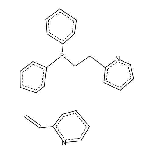 C=Cc1ccccn1.c1ccc(P(CCc2ccccn2)c2ccccc2)cc1